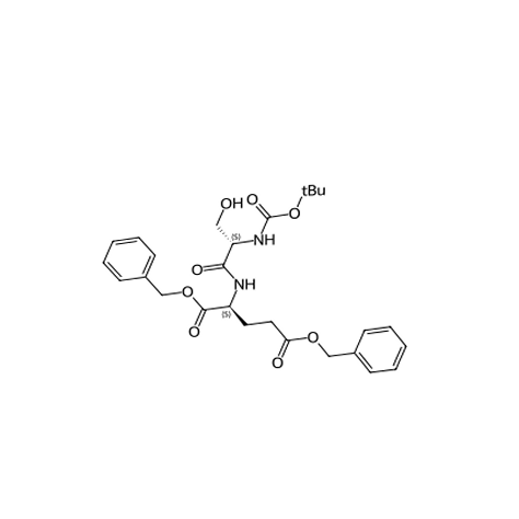 CC(C)(C)OC(=O)N[C@@H](CO)C(=O)N[C@@H](CCC(=O)OCc1ccccc1)C(=O)OCc1ccccc1